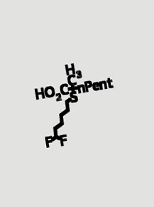 CCCCCC(C)(SCCCCCC(F)F)C(=O)O